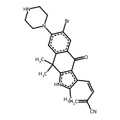 C=C(C#N)/C=C\c1c(C)[nH]c2c1C(=O)c1cc(Br)c(N3CCNCC3)cc1C2(C)C